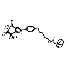 N=C1C(=O)NC(=O)c2cc(-c3ccc(OCCCCOC(=O)CC45CC6CC(CC(C6)C4)C5)cc3)sc21